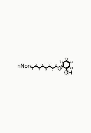 CCCCCCCCCCCCCCCCCOc1ccccc1O